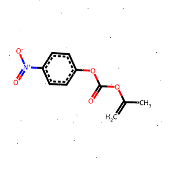 C=C(C)OC(=O)Oc1ccc([N+](=O)[O-])cc1